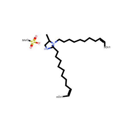 CCCCCCCC/C=C\CCCCCCCCC1=[N+](CCCCCCCC/C=C\CCCCCCCC)C(C)CN1.COS(=O)(=O)[O-]